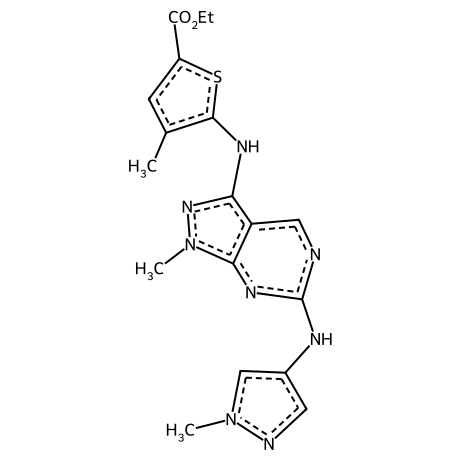 CCOC(=O)c1cc(C)c(Nc2nn(C)c3nc(Nc4cnn(C)c4)ncc23)s1